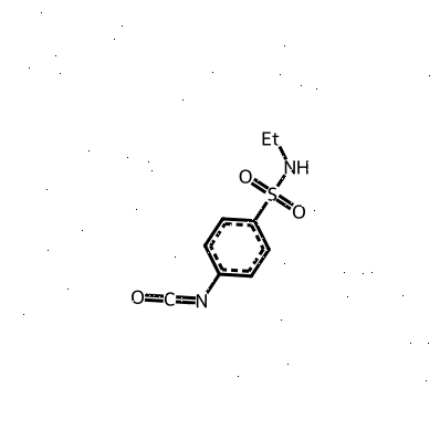 CCNS(=O)(=O)c1ccc(N=C=O)cc1